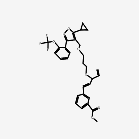 C=CC(/C=C/c1cccc(C(=O)OC)c1)OCCCOCc1c(-c2ccccc2OC(F)(F)F)noc1C1CC1